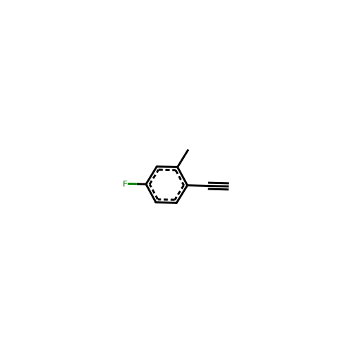 C#Cc1ccc(F)cc1C